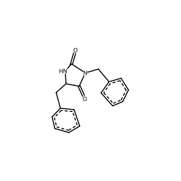 O=C1NC(Cc2ccccc2)C(=O)N1Cc1ccccc1